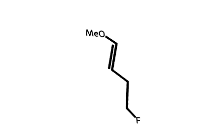 [CH2]OC=CCCF